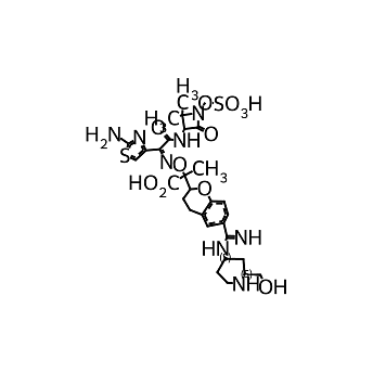 CC(ON=C(C(=O)NC1C(=O)N(OS(=O)(=O)O)C1(C)C)c1csc(N)n1)(C(=O)O)C1CCc2cc(C(=N)N[C@H]3CCN[C@H](CO)C3)ccc2O1